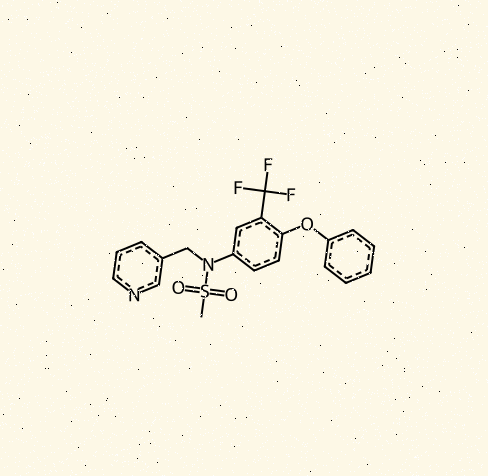 CS(=O)(=O)N(Cc1cccnc1)c1ccc(Oc2ccccc2)c(C(F)(F)F)c1